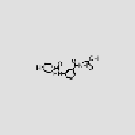 O=C(O)CNC(=O)c1cccc(NC(=O)N2CCNCC2)c1